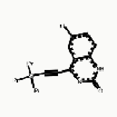 CC(C)[Si](C#Cc1nc(=O)[nH]c2ccc(Cl)cc12)(C(C)C)C(C)C